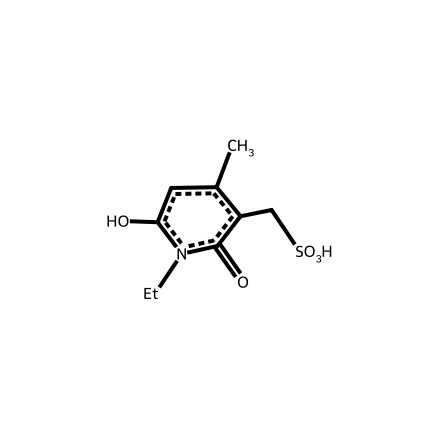 CCn1c(O)cc(C)c(CS(=O)(=O)O)c1=O